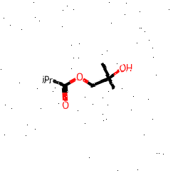 CC(C)C(=O)OCC(C)(C)O